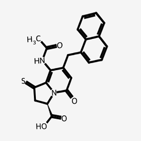 CC(=O)Nc1c(Cc2cccc3ccccc23)cc(=O)n2c1C(=S)C[C@@H]2C(=O)O